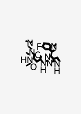 CCN(CCN(C)C)c1ccc(Nc2nc(-c3cn(C)c4ccc(F)cc34)c3cc[nH]c3n2)cc1NC(C)=O